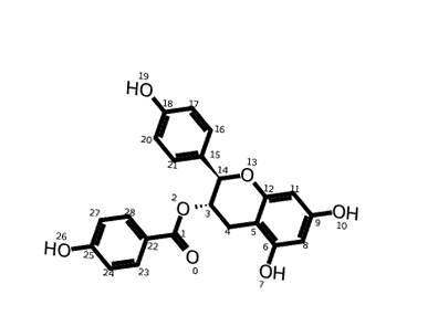 O=C(O[C@H]1Cc2c(O)cc(O)cc2O[C@@H]1c1ccc(O)cc1)c1ccc(O)cc1